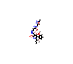 CCCCc1nc(O)c(-c2nnc(CC(=O)NCc3nnc(C)o3)o2)c(O)c1-c1c(OC)cccc1OC